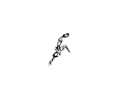 N#Cc1ccc(-n2nc3c(c2O)CCN(Cc2ccccc2)C3)nc1